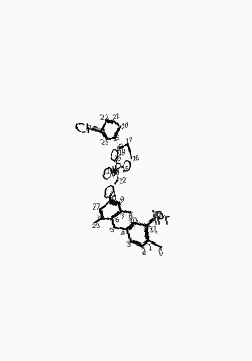 Cc1ccc(Cc2c(C)cc(OC[P@@]3(=O)OCC[C@@H](c4cccc(Cl)c4)O3)cc2C)cc1C(C)C